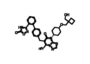 CCCc1c(Cc2ccc(-c3ccccc3-c3noc(=O)[nH]3)cc2)c(=O)n([C@H]2CC[C@H](OCC3(CO)CCC3)CC2)c2ncnn12